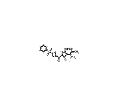 CC1=C(C)c2c(sc(C(=O)N3CC(S(=O)(=O)c4ccccc4)C3)c2N)NN1